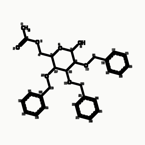 CC(=O)OCC1OC(O)C(OCc2ccccc2)C(OCc2ccccc2)C1OCc1ccccc1